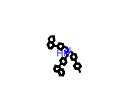 Cc1ccc(-c2ccc(CN(Cc3ccc(-c4cccc5c4C=CCC5)cc3)NCc3ccc(-c4cccc5ccccc45)cc3)cc2)cc1